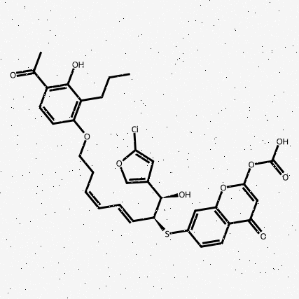 CCCc1c(OCC/C=C\C=C\[C@H](Sc2ccc3c(=O)cc(OC(=O)O)oc3c2)[C@H](O)c2coc(Cl)c2)ccc(C(C)=O)c1O